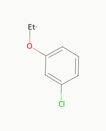 C[CH]Oc1cccc(Cl)c1